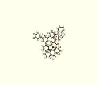 CC1(C)c2ccccc2-c2ccc(-c3ccc4c(c3)-c3c(-c5cc(-c6ccccc6)nc(-c6ccccc6)c5)cccc3C43c4ccccc4C(C)(C)c4ccccc43)cc21